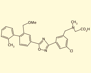 COCc1cc(-c2nc(-c3cc(Cl)cc(CN(C)CC(=O)O)c3)no2)ccc1-c1ccccc1C